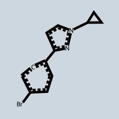 Brc1ccc(-c2ccn(C3CC3)n2)cc1